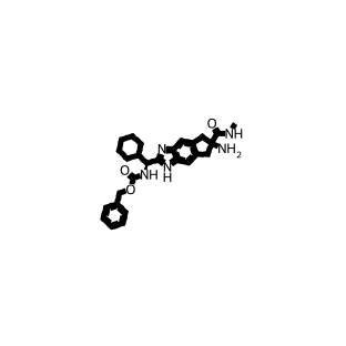 CNC(=O)C1(N)Cc2cc3nc([C@@H](NC(=O)OCc4ccccc4)C4CCCCC4)[nH]c3cc2C1